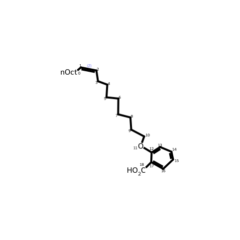 CCCCCCCC/C=C\CCCCCCCCOc1ccccc1C(=O)O